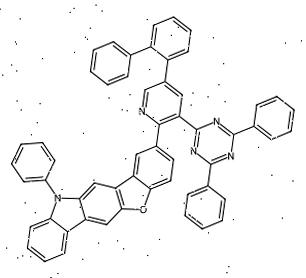 c1ccc(-c2nc(-c3ccccc3)nc(-c3cc(-c4ccccc4-c4ccccc4)cnc3-c3ccc4oc5cc6c7ccccc7n(-c7ccccc7)c6cc5c4c3)n2)cc1